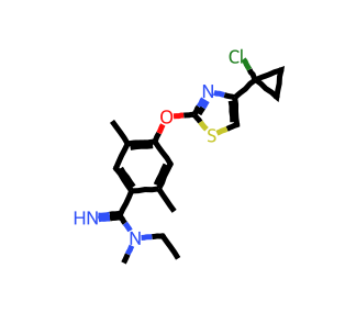 CCN(C)C(=N)c1cc(C)c(Oc2nc(C3(Cl)CC3)cs2)cc1C